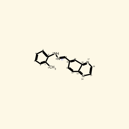 Cc1ccccc1N/N=C/c1ccc2nccnc2c1